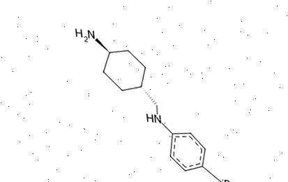 CC(C)c1ccc(NC[C@H]2CC[C@H](N)CC2)cc1